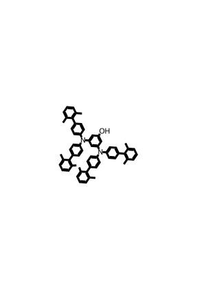 Cc1cccc(C)c1-c1ccc(N(c2ccc(-c3c(C)cccc3C)cc2)c2cc(O)cc(N(c3ccc(-c4c(C)cccc4C)cc3)c3ccc(-c4c(C)cccc4C)cc3)c2)cc1